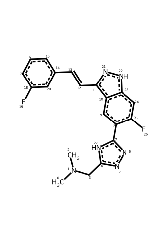 CN(C)Cc1nnc(-c2cc3c(/C=C/c4cccc(F)c4)n[nH]c3cc2F)[nH]1